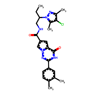 CCC(CNC(=O)c1cc2c(=O)[nH]c(-c3ccc(C)c(C)c3)nn2c1)n1nc(C)c(Cl)c1C